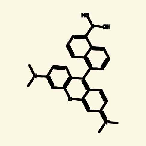 CN(C)c1ccc2c(-c3cccc4c(B(O)O)cccc34)c3ccc(=[N+](C)C)cc-3oc2c1